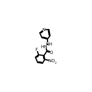 O=C(NNc1ccncc1)c1c(F)cccc1[N+](=O)[O-]